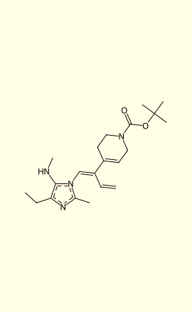 C=C/C(=C\n1c(C)nc(CC)c1NC)C1=CCN(C(=O)OC(C)(C)C)CC1